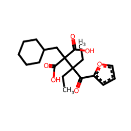 CCC(CC)(C(=O)c1ccco1)C(CC1CCCCC1)(C(=O)O)C(=O)O